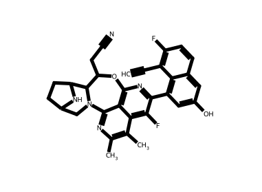 C#Cc1c(F)ccc2cc(O)cc(-c3nc4c5c(nc(C)c(C)c5c3F)N3CC5CCC(N5)C3C(CC#N)O4)c12